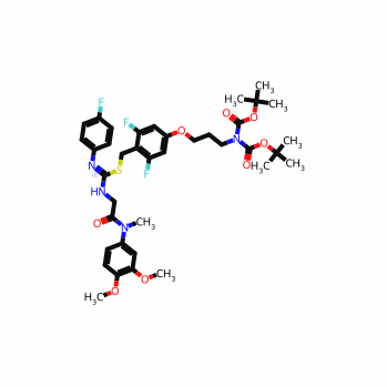 COc1ccc(N(C)C(=O)CN/C(=N/c2ccc(F)cc2)SCc2c(F)cc(OCCCN(C(=O)OC(C)(C)C)C(=O)OC(C)(C)C)cc2F)cc1OC